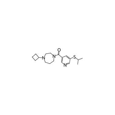 CC(C)Sc1cncc(C(=O)N2CCCN(C3CCC3)CC2)c1